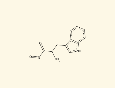 NC(Cc1c[nH]c2ccccc12)C(=O)N=O